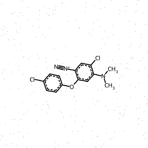 CN(C)c1cc(Oc2ccc(Cl)cc2)c([N+]#N)cc1Cl